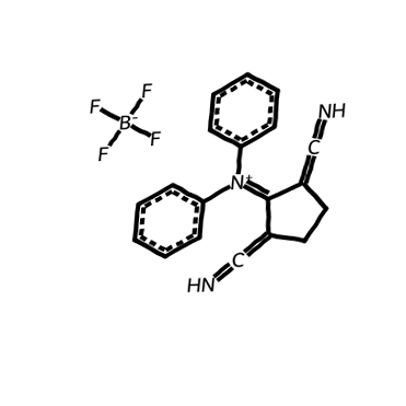 F[B-](F)(F)F.N=C=C1CCC(=C=N)C1=[N+](c1ccccc1)c1ccccc1